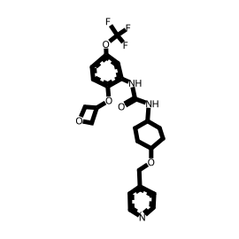 O=C(Nc1cc(OC(F)(F)F)ccc1OC1COC1)NC1CCC(OCc2ccncc2)CC1